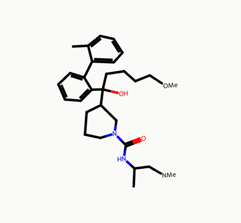 CNCC(C)NC(=O)N1CCCC(C(O)(CCCCOC)c2ccccc2-c2ccccc2C)C1